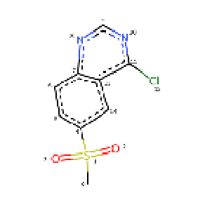 CS(=O)(=O)c1ccc2ncnc(Cl)c2c1